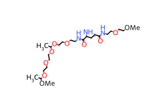 COCCOCCNC(=O)CCC(N)C(=O)NCCOCCOC(C)OCCOCCOC(C)OC